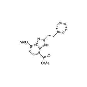 COC(=O)c1ccc(OC)c2nc(CCc3ccccc3)[nH]c12